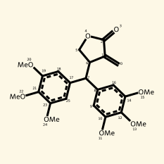 C=C1C(=O)OCC1C(c1cc(OC)c(OC)c(OC)c1)c1cc(OC)c(OC)c(OC)c1